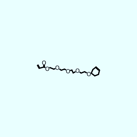 C=CC(=O)OCCOCCOCCOCCOC1CC=CCC1